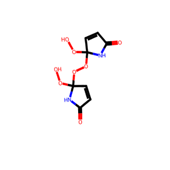 O=C1C=CC(OO)(OOC2(OO)C=CC(=O)N2)N1